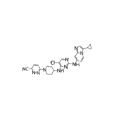 N#Cc1ccc(N2CCC(Nc3nc(Nc4ccn5c(C6CC6)cnc5c4)ncc3Cl)CC2)nn1